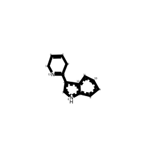 C1=CCC(c2c[nH]c3ccccc23)=NC1